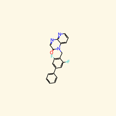 O=c1cnc2ncccc2n1Cc1c(F)cc(-c2ccccc2)cc1F